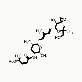 CC(=O)O[C@@H](C)/C=C\C(=O)N[C@@H]1C[C@H](C)[C@H](C/C=C(C)/C=C/[C@H]2O[C@@](C)(CO)C[C@@]3(CO3)[C@@H]2O)O[C@@H]1C